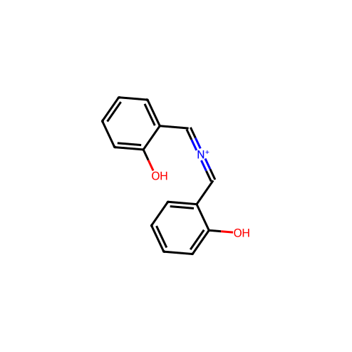 Oc1ccccc1C=[N+]=Cc1ccccc1O